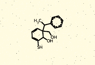 CC(c1ccccc1)C1(CO)C=CC=C(S)C1O